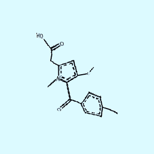 COc1cc(CC(=O)O)n(C)c1C(=O)c1ccc(C)cc1